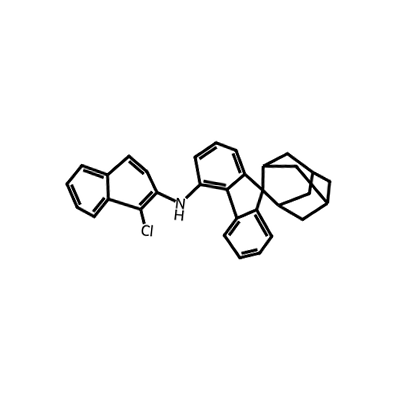 Clc1c(Nc2cccc3c2-c2ccccc2C32C3CC4CC(C3)CC2C4)ccc2ccccc12